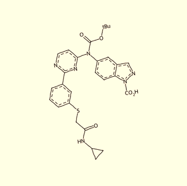 CC(C)(C)OC(=O)N(c1ccc2c(cnn2C(=O)O)c1)c1ccnc(-c2cccc(SCC(=O)NC3CC3)c2)n1